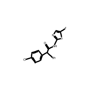 CC(C)C(C(=O)Nc1ncc(F)s1)c1ccc(Cl)cc1